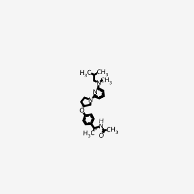 CC(=O)N[C@@H](C)c1ccc(O[C@@H]2CCN(c3cccc(N(C)CC(C)C)n3)C2)cc1